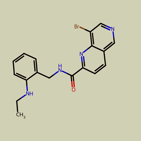 CCNc1ccccc1CNC(=O)c1ccc2cncc(Br)c2n1